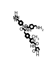 Cc1nc(C(=O)N[C@@H]2CCNC2=O)ccc1-c1ccc(C[C@H](NC(=O)C2CCC(CN)CC2)C(=O)Nc2ccc(-c3nn[nH]n3)cc2)cc1